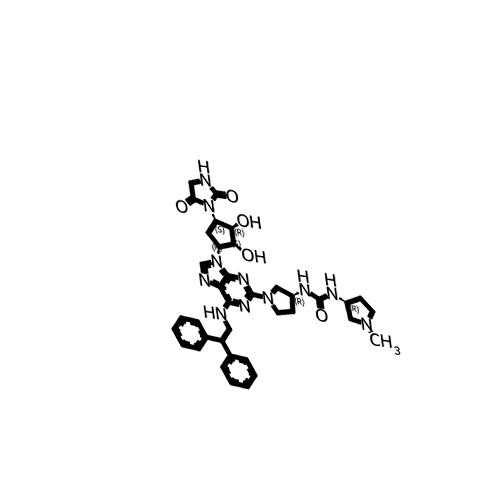 CN1CC[C@@H](NC(=O)N[C@@H]2CCN(c3nc(NCC(c4ccccc4)c4ccccc4)c4ncn([C@@H]5C[C@H](N6C(=O)CNC6=O)[C@@H](O)[C@H]5O)c4n3)C2)C1